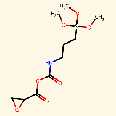 CO[Si](CCCNC(=O)OC(=O)C1CO1)(OC)OC